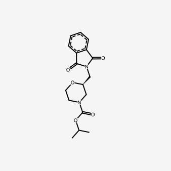 CC(C)OC(=O)N1CCO[C@@H](CN2C(=O)c3ccccc3C2=O)C1